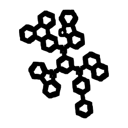 c1ccc(-c2ccc(N(c3cc(N(c4ccc5c6ccccc6c6ccccc6c5c4)c4cccc5c4oc4ccccc45)cc(-n4c5ccccc5c5ccccc54)c3)c3cccc4ccccc34)cc2)cc1